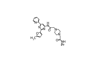 Cc1ccc(-c2nc(NC(=O)CN3CCN(CC(=O)NC(C)C)CC3)cc(-c3ccccn3)n2)o1